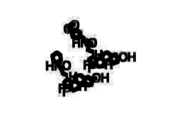 C[C@]12CC[C@@H]3c4ccc(O)cc4CC[C@H]3[C@@H]1[C@H](CCC(=O)NC1CCCCC1)CC2(F)F.C[C@]12CC[C@@H]3c4ccc(O)cc4CC[C@H]3[C@@H]1[C@H](CCC(=O)NCc1ccc3c(c1)OCO3)CC2(F)F